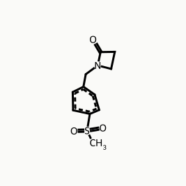 CS(=O)(=O)c1ccc(CN2CCC2=O)cc1